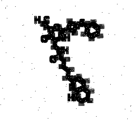 CCOC(=O)C(CNC(=O)CCCCc1ccc2c(n1)NCCC2)NC(=O)C1CN(Sc2ccccc2)C1